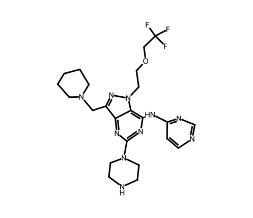 FC(F)(F)COCCn1nc(CN2CCCCC2)c2nc(N3CCNCC3)nc(Nc3ccncn3)c21